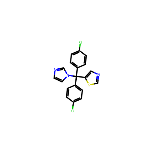 Clc1ccc(C(c2ccc(Cl)cc2)(c2cncs2)n2ccnc2)cc1